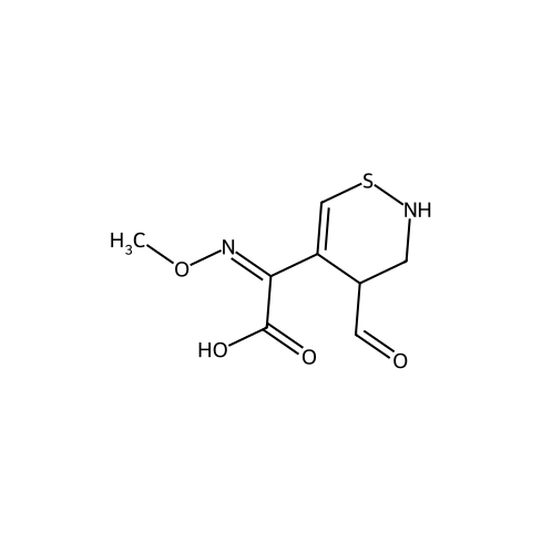 CO/N=C(\C(=O)O)C1=CSNCC1C=O